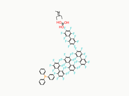 CC[SiH](CC)CC.Fc1c(F)c(F)c(-c2c(F)c(F)c(F)c(F)c2F)c(F)c1F.Fc1c(F)c(F)c(-c2c(F)c(F)c(F)c(F)c2F)c(F)c1F.Fc1c(F)c(F)c(-c2c(F)c(F)c(F)c(F)c2F)c(F)c1F.Fc1c(F)c(F)c(-c2c(F)c(F)c(F)c(F)c2F)c(F)c1F.OB(O)O.c1ccc(P(c2ccccc2)c2ccccc2)cc1